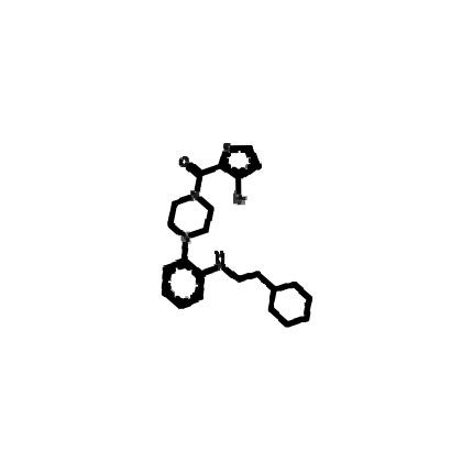 O=C(c1sccc1Br)N1CCN(c2ccccc2NCCC2CCCCC2)CC1